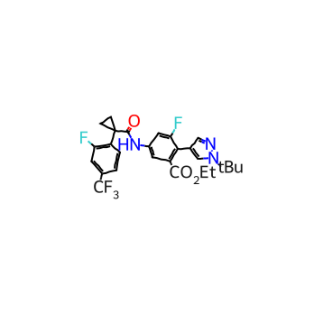 CCOC(=O)c1cc(NC(=O)C2(c3ccc(C(F)(F)F)cc3F)CC2)cc(F)c1-c1cnn(C(C)(C)C)c1